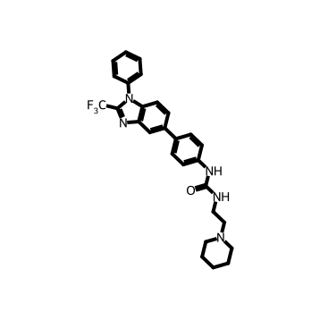 O=C(NCCN1CCCCC1)Nc1ccc(-c2ccc3c(c2)nc(C(F)(F)F)n3-c2ccccc2)cc1